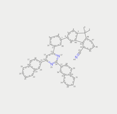 CC1(C)c2ccc(-c3cccc(-c4cc(-c5ccc6ccccc6c5)nc(-c5ccc6ccccc6c5)n4)c3)cc2-c2c(C#N)cccc21